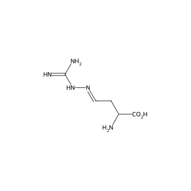 N=C(N)NN=CCC(N)C(=O)O